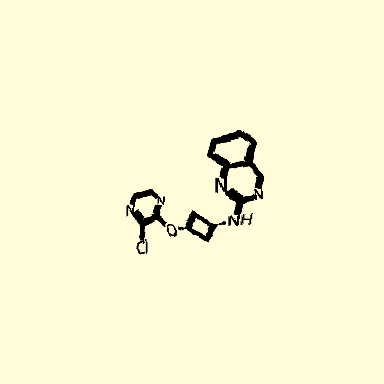 Clc1nccnc1O[C@H]1C[C@@H](Nc2ncc3ccccc3n2)C1